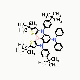 CC(C)(C)c1ccc(N2c3cc([Si](C)(C)C)sc3B3c4sc([Si](C)(C)C)cc4N(c4ccc(C(C)(C)C)cc4)c4cc(N(c5ccccc5)c5ccccc5)cc2c43)cc1